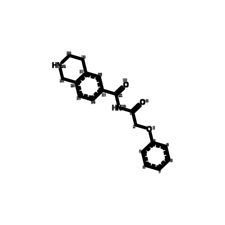 O=C(COc1ccccc1)NC(=O)c1ccc2c(c1)CCNC2